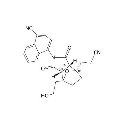 N#CCC[C@]12CCC(CCO)(O1)[C@@H]1C(=O)N(c3ccc(C#N)c4ccccc34)C(=O)[C@@H]12